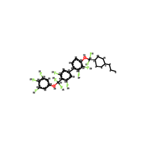 CCCC1CCC(C(F)(F)Oc2ccc(-c3cc(F)c(C(F)(F)Oc4cc(F)c(F)c(F)c4)c(F)c3)c(F)c2F)CC1